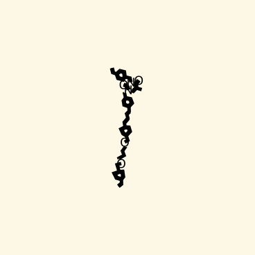 C=Cc1ccc(COCCCCOCc2ccc(/C=C/C=C/c3ccc(Cn4cc(C)c(=O)n(Cc5ccc(C=C)cc5)c4=O)cc3)cc2)cc1